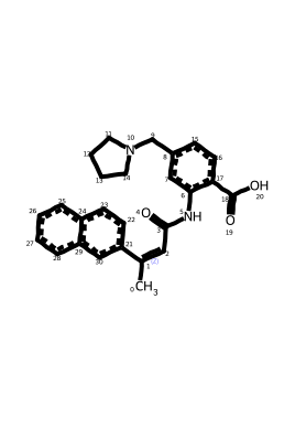 C/C(=C/C(=O)Nc1cc(CN2CCCC2)ccc1C(=O)O)c1ccc2ccccc2c1